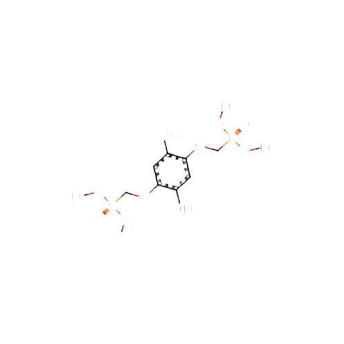 CCOP(=O)(COc1cc(C(C)(C)C)c(OCP(=O)(OCC)OCC)cc1C(C)(C)C)OCC